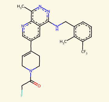 Cc1c(CNc2nnc(C)c3ncc(C4=CCN(C(=O)CF)CC4)cc23)cccc1C(F)(F)F